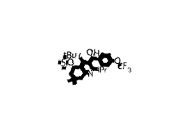 CC(C)c1nc2c(c(I)c1[C@H](O)c1ccc(OC(F)(F)F)cc1)[C@@H](O[Si](C)(C)C(C)(C)C)CC(C)(C)C2